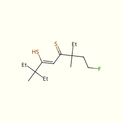 CCC(C)(CCF)C(=S)/C=C(\S)C(C)(CC)CC